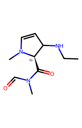 CCNC1C=CN(C)[C@@H]1C(=O)N(C)C=O